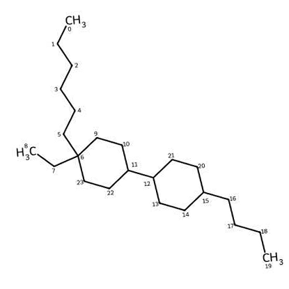 CCCCCCC1(CC)CCC(C2CCC(CCCC)CC2)CC1